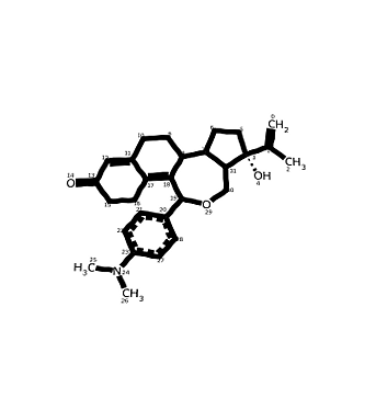 C=C(C)[C@]1(O)CCC2C3CCC4=CC(=O)CCC4=C3C(c3ccc(N(C)C)cc3)OCC21